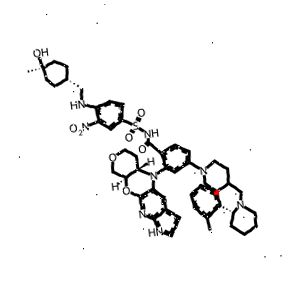 Cc1ccccc1[C@H]1CCCCN1CC1CCN(c2ccc(C(=O)NS(=O)(=O)c3ccc(NC[C@H]4CC[C@](C)(O)CC4)c([N+](=O)[O-])c3)c(N3c4cc5cc[nH]c5nc4O[C@H]4COCC[C@@H]43)c2)CC1